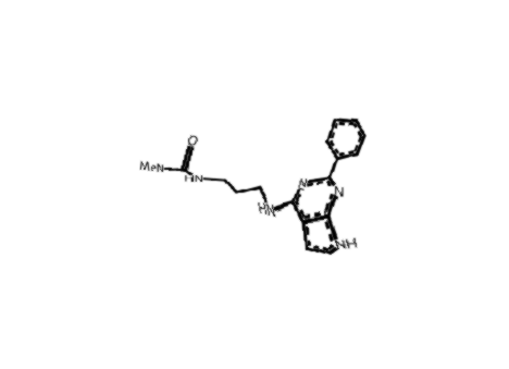 CNC(=O)NCCCNc1nc(-c2ccccc2)nc2[nH]ccc12